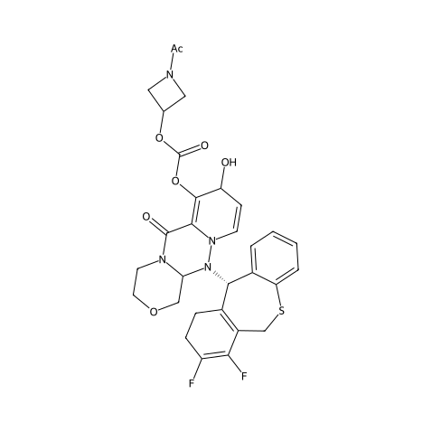 CC(=O)N1CC(OC(=O)OC2=C3C(=O)N4CCOCC4N([C@H]4C5=C(CSc6ccccc64)C(F)=C(F)CC5)N3C=CC2O)C1